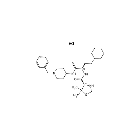 CC1(C)SCN[C@@H]1C(=O)N[C@H](CCC1CCCCC1)C(=S)NC1CCN(Cc2ccccc2)CC1.Cl